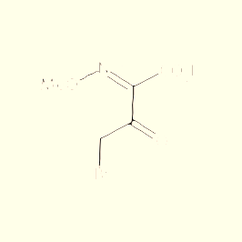 CO/N=C(/C(=O)O)C(=O)CBr